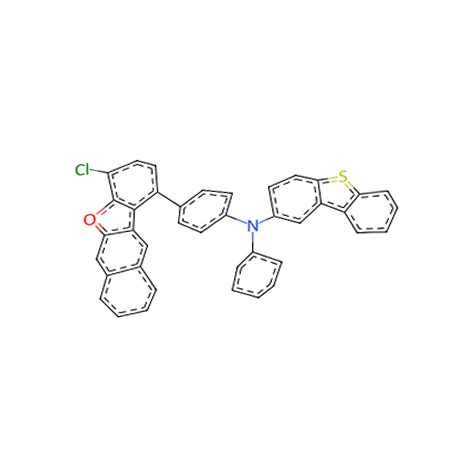 Clc1ccc(-c2ccc(N(c3ccccc3)c3ccc4sc5ccccc5c4c3)cc2)c2c1oc1cc3ccccc3cc12